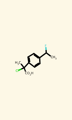 CC(F)c1ccc(C(C)(Cl)C(=O)O)cc1